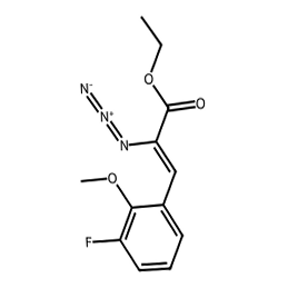 CCOC(=O)/C(=C/c1cccc(F)c1OC)N=[N+]=[N-]